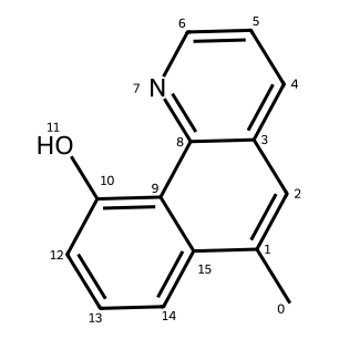 Cc1cc2cccnc2c2c(O)cccc12